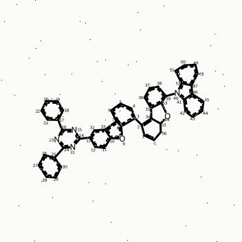 C1=CC(c2cccc3c2oc2ccc(-c4nc(-c5ccccc5)nc(-c5ccccc5)n4)cc23)=C2c3cccc(-n4c5ccccc5c5ccccc54)c3OC2C1